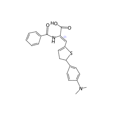 CN(C)c1ccc(C2CC=C(/C=C(\NC(=O)c3ccccc3)C(=O)O)S2)cc1